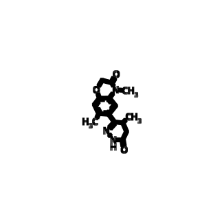 Cc1cc2c(cc1C1=NNC(=O)CC1C)N(C)C(=O)CO2